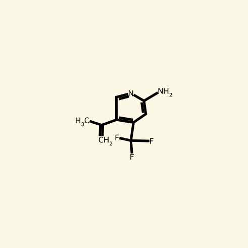 C=C(C)c1cnc(N)cc1C(F)(F)F